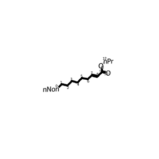 CCCCCCCCCCCCCCCC=CC(=O)OCCC